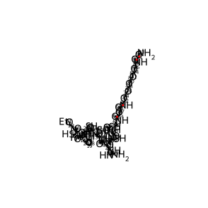 CCOCCNC(=O)C(CS)NC(=O)[C@H](Cc1ccccc1)NC(=O)[C@H](CS)NC(=O)[C@H](CC(=O)O)NC(=O)CNC(=O)[C@H](CCCNC(=N)N)NC(=O)C(CS)NC(=O)[C@H](CCCCNC(=O)COCC(=O)NCCOCCOCCOCCOCCOCCNC(=O)CON)NC(=O)S